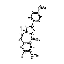 COc1ccc(C2=CN3C(=O)c4cc(OC)c(C)cc4N=C[C@@H]3C2)cc1